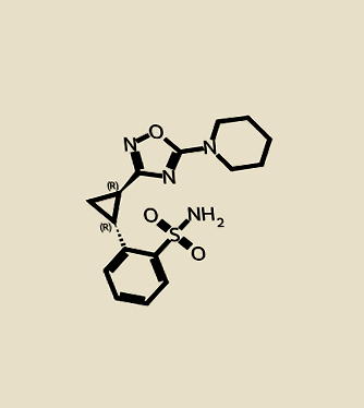 NS(=O)(=O)c1ccccc1[C@@H]1C[C@H]1c1noc(N2CCCCC2)n1